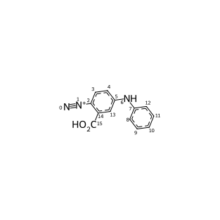 N#[N+]c1ccc(Nc2ccccc2)cc1C(=O)O